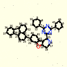 c1ccc(-c2nc(-c3ccccc3)nc(-c3nccc4oc5cc(-c6ccc7c8c(cccc68)-c6ccccc6-7)ccc5c34)n2)cc1